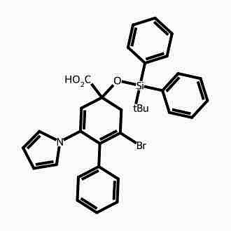 CC(C)(C)[Si](OC1(C(=O)O)C=C(n2cccc2)C(c2ccccc2)=C(Br)C1)(c1ccccc1)c1ccccc1